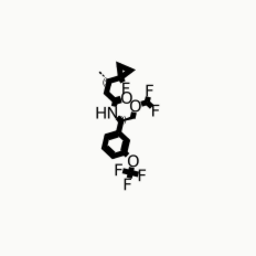 C[C@@H](CC(=O)N[C@@H](COC(F)F)c1cccc(OC(F)(F)F)c1)C1(F)CC1